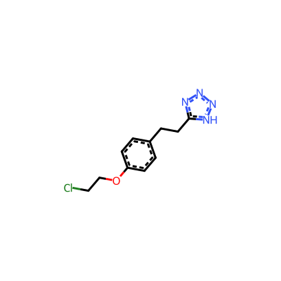 ClCCOc1ccc(CCc2nnn[nH]2)cc1